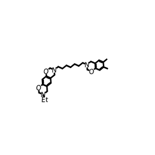 CCN1COc2cc3c(cc2C1)CN(CCCCCCCN1COc2cc(C)c(C)cc2C1)CO3